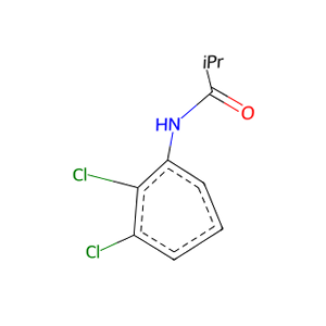 CC(C)C(=O)Nc1cccc(Cl)c1Cl